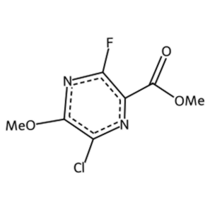 COC(=O)c1nc(Cl)c(OC)nc1F